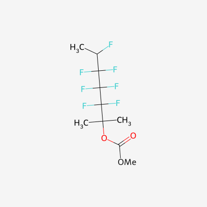 COC(=O)OC(C)(C)C(F)(F)C(F)(F)C(F)(F)C(C)F